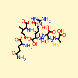 CCC(C)C(N)C(=O)O.N=C(N)NCCCC(N)C(=O)O.NC(=O)CCC(N)C(=O)O.NC(CO)C(=O)O.NC(CS)C(=O)O